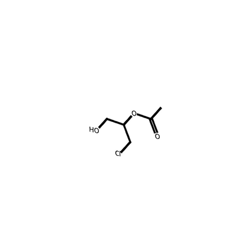 CC(=O)OC(CO)CCl